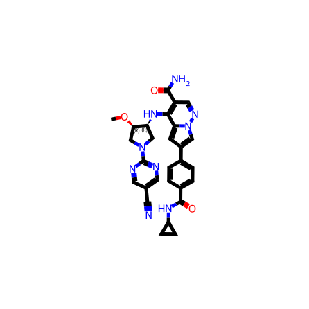 CO[C@@H]1CN(c2ncc(C#N)cn2)C[C@H]1Nc1c(C(N)=O)cnn2cc(-c3ccc(C(=O)NC4CC4)cc3)cc12